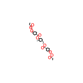 C=CC(=O)OCOc1ccc(C(=O)OCCc2ccc(OC(=O)c3ccc(OCOC(=O)C=C)cc3)c(C)c2)cc1